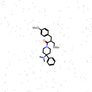 CNCC(Cc1ccc(OC)cc1)C(=O)N1CCC(c2ccccc2)(N(C)C)CC1